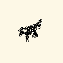 O=C1CCC(N2Cc3c(C#CCOCCN4C=CC=CC=C4C4CC(COc5cccc(-c6ccc(Cl)cc6)c5CN5CCN(c6ccc(C(=O)NS(=O)(=O)c7ccc(NCC8CCOCC8)c([N+](=O)[O-])c7)c(Oc7cnc8[nH]ccc8c7)c6)CC5)C4)cccc3C2=O)C(=O)N1